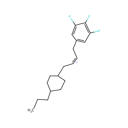 CCCC1CCC(C/C=C\Cc2cc(F)c(F)c(F)c2)CC1